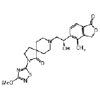 COc1nsc(N2CCC3(CCN(C[C@H](O)c4ccc5c(c4C)COC5=O)CC3)C2=O)n1